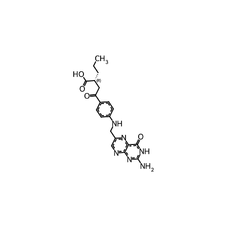 CCC[C@H](CC(=O)c1ccc(NCc2cnc3nc(N)[nH]c(=O)c3n2)cc1)C(=O)O